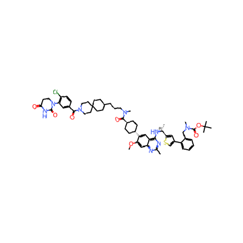 COc1cc2nc(C)nc(N[C@H](C)c3cc(-c4ccccc4CN(C)C(=O)OC(C)(C)C)cs3)c2cc1[C@H]1CC[C@H](C(=O)N(C)CCCC2CCC3(CC2)CCN(C(=O)c2ccc(Cl)c(N4CCC(=O)NC4=O)c2)CC3)CC1